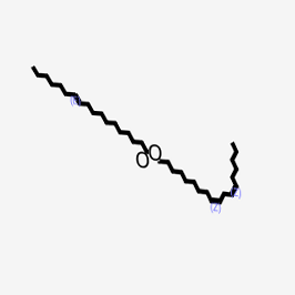 CCCCC/C=C\C/C=C\CCCCCCCCOC(=O)CCCCCCCCC/C=C/CCCCCC